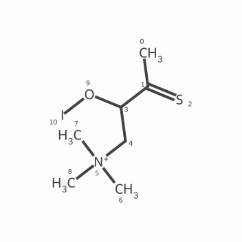 CC(=S)C(C[N+](C)(C)C)OI